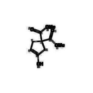 COC(=O)C1(C(=O)OC)CC=C(O)C1